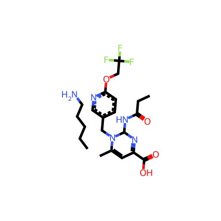 CCC(=O)NC1N=C(C(=O)O)C=C(C)N1Cc1ccc(OCC(F)(F)F)nc1.CCCCCN